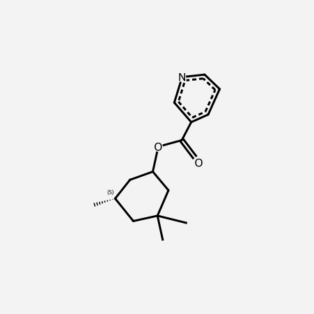 C[C@@H]1CC(OC(=O)c2cccnc2)CC(C)(C)C1